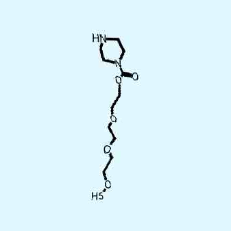 O=C(OCCOCCOCCOS)N1CCNCC1